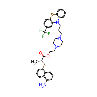 CC(Sc1cccc2c(N)cccc12)C(=O)OCCN1CCN(CCCN2c3ccccc3Sc3ccc(C(F)(F)F)cc32)CC1